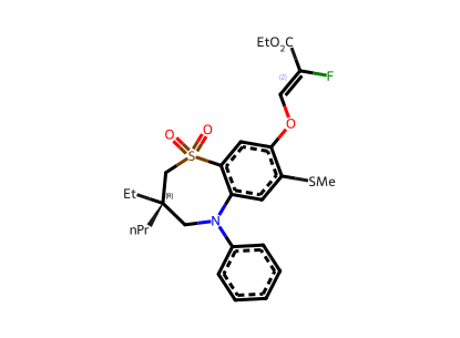 CCC[C@]1(CC)CN(c2ccccc2)c2cc(SC)c(O/C=C(\F)C(=O)OCC)cc2S(=O)(=O)C1